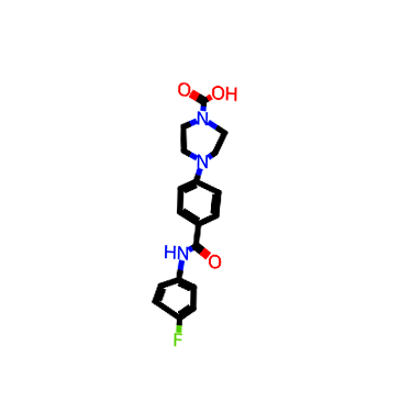 O=C(Nc1ccc(F)cc1)c1ccc(N2CCN(C(=O)O)CC2)cc1